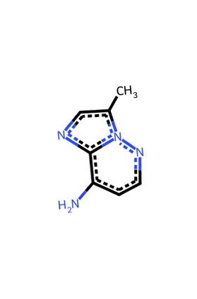 Cc1cnc2c(N)ccnn12